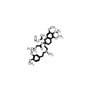 COCC(=O)O[C@@]1(CCN(C)CCc2ccc(OC)c(OC)c2)CCc2c(cc(OC)c(OC)c2OC)[C@H]1C(C)C.Cl